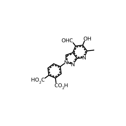 Cc1nc2nn(-c3ccc(C(=O)O)c(C(=O)O)c3)cc2c(C=O)c1O